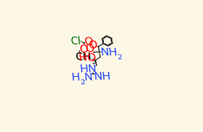 CCOC(=O)Cl.N=C(N)NCCCC(N)(C(=O)O)C(=O)c1ccccc1